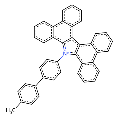 Cc1ccc(-c2ccc(-n3c4c5ccccc5c5ccccc5c4c4c5ccccc5c5ccccc5c43)cc2)cc1